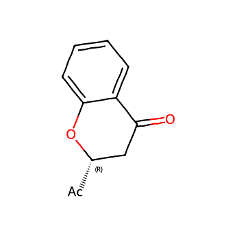 CC(=O)[C@H]1CC(=O)c2ccccc2O1